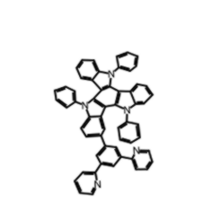 c1ccc(-n2c3ccccc3c3c2c2c4ccccc4n(-c4ccccc4)c2c2c4cc(-c5cc(-c6ccccn6)cc(-c6ccccn6)c5)ccc4n(-c4ccccc4)c32)cc1